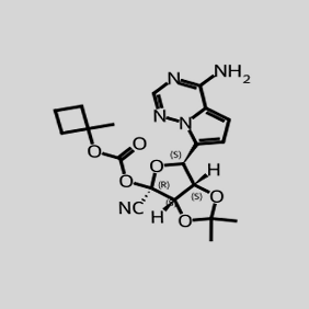 CC1(OC(=O)O[C@@]2(C#N)O[C@@H](c3ccc4c(N)ncnn34)[C@@H]3OC(C)(C)O[C@@H]32)CCC1